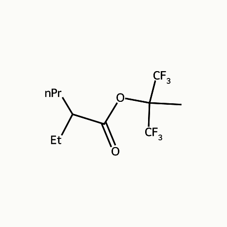 CCCC(CC)C(=O)OC(C)(C(F)(F)F)C(F)(F)F